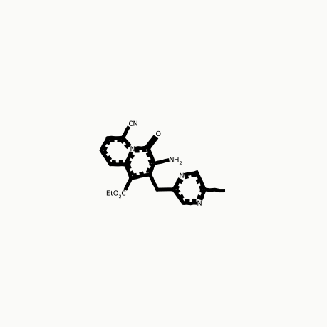 CCOC(=O)c1c(Cc2cnc(C)cn2)c(N)c(=O)n2c(C#N)cccc12